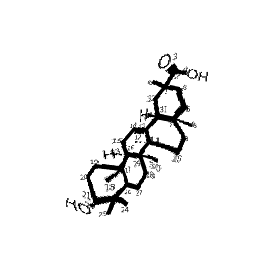 CC1(C(=O)O)CC[C@]2(C)CC[C@]3(C)C(=CC[C@@H]4[C@@]5(C)CC[C@H](O)C(C)(C)C5CC[C@]43C)[C@@H]2C1